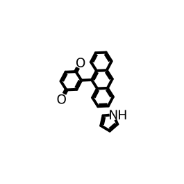 O=C1C=CC(=O)C(c2c3ccccc3cc3ccccc23)=C1.c1cc[nH]c1